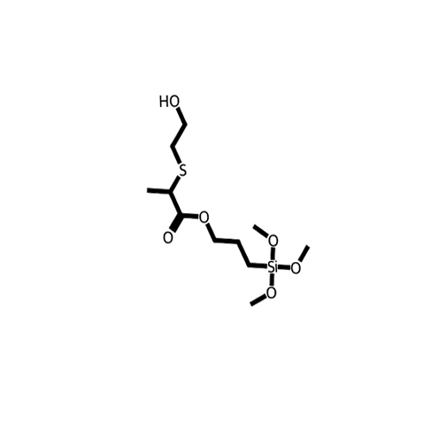 CO[Si](CCCOC(=O)C(C)SCCO)(OC)OC